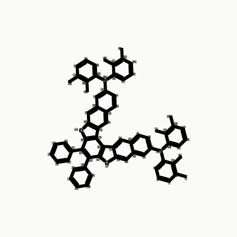 Cc1cccc(N(c2ccc3cc4c(cc3c2)oc2c(-c3ccccc3)c(-c3ccccc3)c3oc5cc6cc(N(c7cccc(C)c7C)c7cccc(C)c7C)ccc6cc5c3c24)c2cccc(C)c2C)c1C